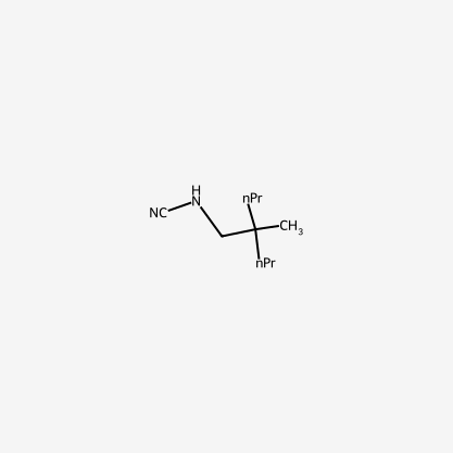 CCCC(C)(CCC)CNC#N